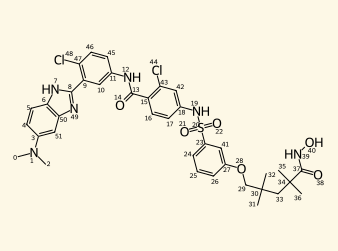 CN(C)c1ccc2[nH]c(-c3cc(NC(=O)c4ccc(NS(=O)(=O)c5cccc(OCC(C)(C)CC(C)(C)C(=O)NO)c5)cc4Cl)ccc3Cl)nc2c1